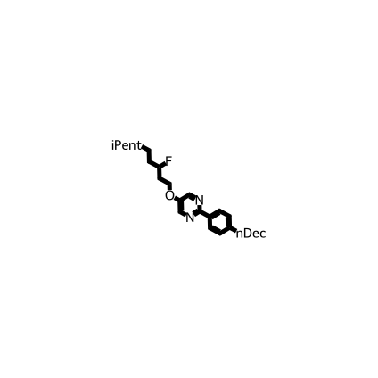 CCCCCCCCCCc1ccc(-c2ncc(OCCC(F)CCC(C)CCC)cn2)cc1